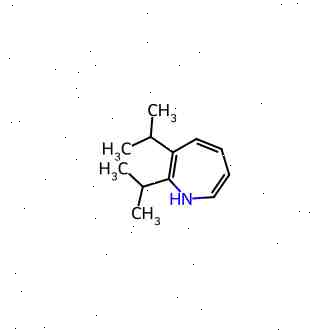 CC(C)C1=C(C(C)C)NC=CC=C1